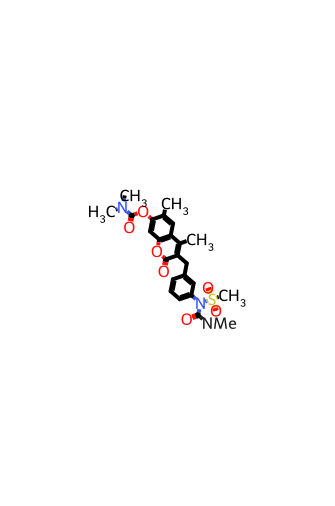 CNC(=O)N(c1cccc(Cc2c(C)c3cc(C)c(OC(=O)N(C)C)cc3oc2=O)c1)S(C)(=O)=O